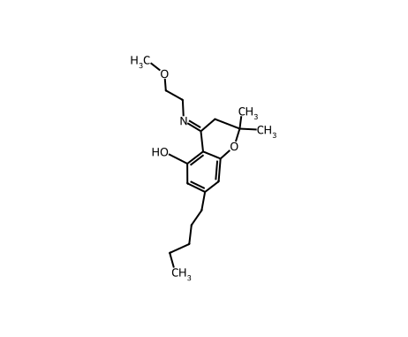 CCCCCc1cc(O)c2c(c1)OC(C)(C)CC2=NCCOC